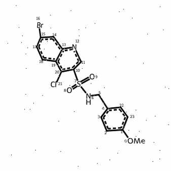 COc1ccc(CNS(=O)(=O)c2cnc3cc(Br)ccc3c2Cl)cc1